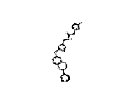 Cc1ccn(CC(=O)NCc2cnc(Oc3ccc4c(c3)CCC(c3ccccc3)O4)s2)n1